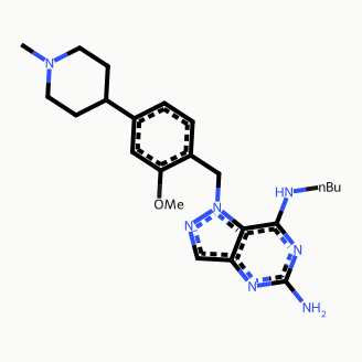 CCCCNc1nc(N)nc2cnn(Cc3ccc(C4CCN(C)CC4)cc3OC)c12